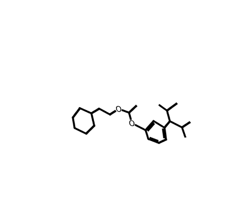 CC(OCCC1CCCCC1)Oc1cccc(C(C(C)C)C(C)C)c1